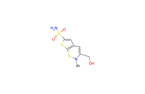 CC(C)N1Sc2sc(S(N)(=O)=O)cc2C=C1CO